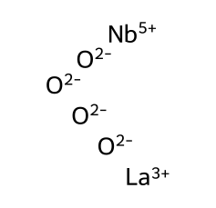 [La+3].[Nb+5].[O-2].[O-2].[O-2].[O-2]